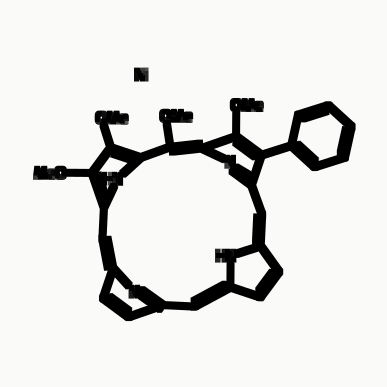 COC1=C(c2ccccc2)c2cc3ccc(cc4nc(cc5[nH]c(c(OC)c1n2)c(OC)c5OC)C=C4)[nH]3.[Ni]